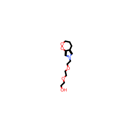 OCCOCCOCCn1cc2c(c1)OOCCC2